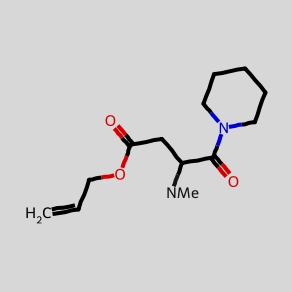 C=CCOC(=O)CC(NC)C(=O)N1CCCCC1